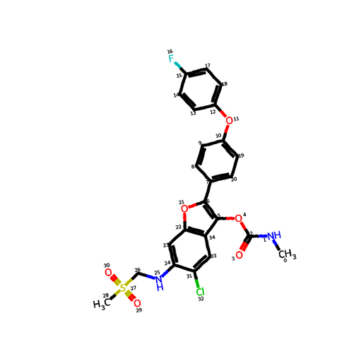 CNC(=O)Oc1c(-c2ccc(Oc3ccc(F)cc3)cc2)oc2cc(NCS(C)(=O)=O)c(Cl)cc12